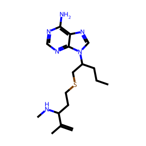 C=C(C)C(CCSCC(CCC)n1cnc2c(N)ncnc21)NC